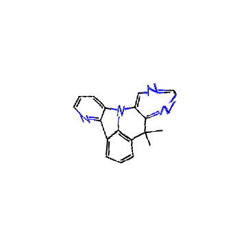 CC1(C)c2ncncc2-n2c3cccnc3c3cccc1c32